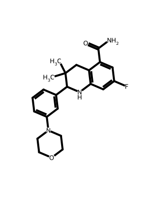 CC1(C)Cc2c(cc(F)cc2C(N)=O)NC1c1cccc(N2CCOCC2)c1